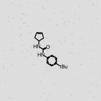 CC(C)(C)c1ccc(NC(=O)NC2CC=CC2)cc1